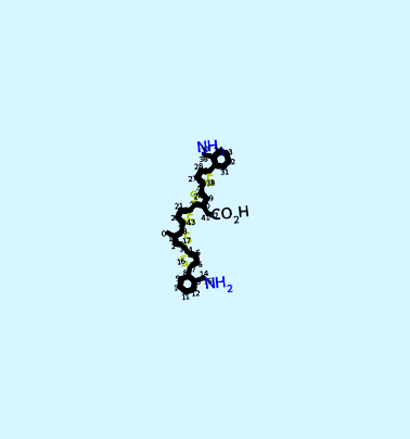 Cc1cc(-c2ccc(-c3ccccc3CN)s2)sc1-c1ccc(-c2sc(-c3ccc(-c4ccccc4CN)s3)cc2CC(=O)O)s1